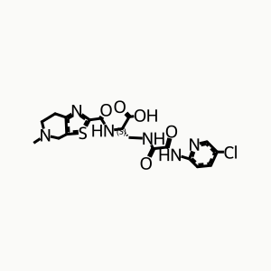 CN1CCc2nc(C(=O)N[C@@H](CNC(=O)C(=O)Nc3ccc(Cl)cn3)C(=O)O)sc2C1